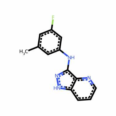 Cc1cc(F)cc(Nc2n[nH]c3cccnc23)c1